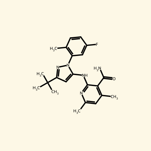 Cc1cc(C)c(C(N)=O)c(Nc2cc(C(C)(C)C)nn2-c2cc(F)ccc2C)n1